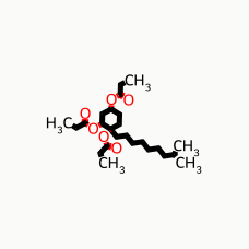 CCC(=O)OC1CCC(CCCCCCCC(C)C)(OC(=O)CC)C(OC(=O)CC)C1